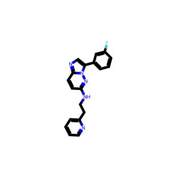 Fc1cccc(-c2cnc3ccc(NCCc4ccccn4)nn23)c1